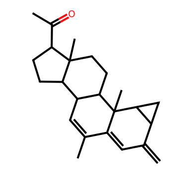 C=C1C=C2C(C)=CC3C4CCC(C(C)=O)C4(C)CCC3C2(C)C2CC12